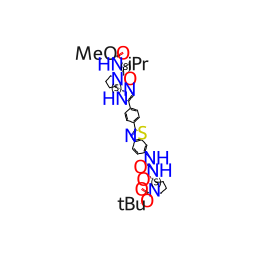 COC(=O)N[C@H](C(=O)N1CCC[C@H]1c1ncc(-c2ccc(-c3nc4ccc(NC(=O)NC(=O)[C@@H]5CCCN5C(=O)OC(C)(C)C)cc4s3)cc2)[nH]1)C(C)C